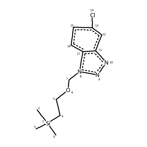 C[Si](C)(C)CCOCn1nnc2cc(Cl)ccc21